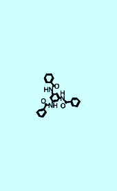 O=C(Nc1cc(NC(=O)c2ccccc2)cc(NC(=O)c2ccccc2)c1)c1ccccc1